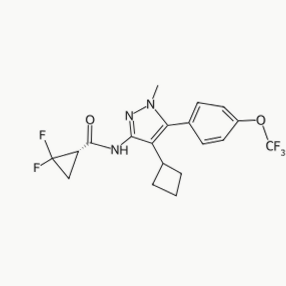 Cn1nc(NC(=O)[C@@H]2CC2(F)F)c(C2CCC2)c1-c1ccc(OC(F)(F)F)cc1